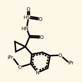 CC(C)Oc1cnc(OC(C)C)c(C2(C(=O)N[SH](=O)=O)CC2)c1